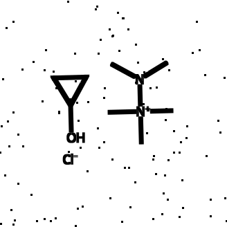 CN(C)[N+](C)(C)C.OC1CC1.[Cl-]